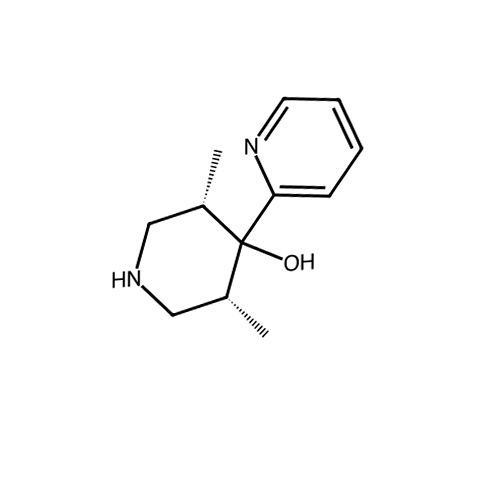 C[C@@H]1CNC[C@H](C)C1(O)c1ccccn1